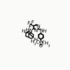 CP(C)(=O)c1ccc(Nc2ncc(C(F)(F)F)c(NC34CC5C[C@H](C3)C[C@H](C5)C4)n2)cc1